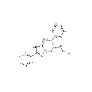 C=c1[nH]c(-c2ccccc2)c/c1=C/C(=C\CC)C(O)c1cccnc1